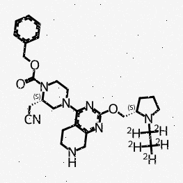 [2H]C([2H])([2H])C([2H])([2H])N1CCC[C@H]1COc1nc2c(c(N3CCN(C(=O)OCc4ccccc4)[C@@H](CC#N)C3)n1)CCNC2